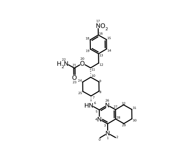 CN(C)c1nc(N[C@H]2CC[C@@H](C(Cc3ccc([N+](=O)[O-])cc3)OC(N)=O)CC2)nc2c1CCCC2